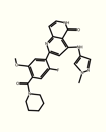 COc1cc(-c2cc(Nc3cnn(C)c3)c3c(=O)[nH]ccc3n2)c(F)cc1C(=O)N1CCCCC1